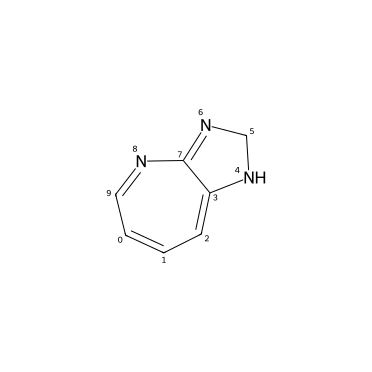 C1=CC=C2NCN=C2N=C1